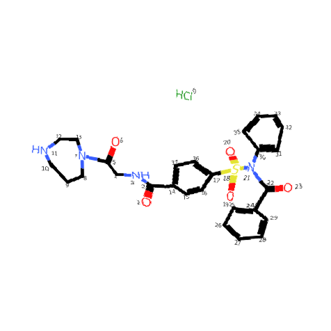 Cl.O=C(NCC(=O)N1CCCNCC1)c1ccc(S(=O)(=O)N(C(=O)c2ccccc2)c2ccccc2)cc1